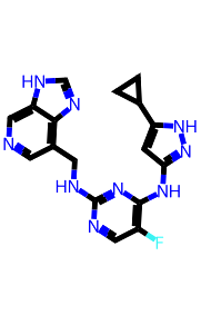 Fc1cnc(NCc2cncc3[nH]cnc23)nc1Nc1cc(C2CC2)[nH]n1